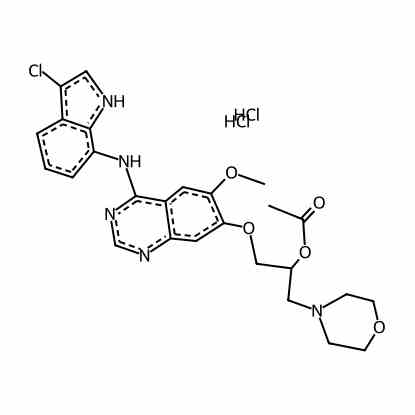 COc1cc2c(Nc3cccc4c(Cl)c[nH]c34)ncnc2cc1OCC(CN1CCOCC1)OC(C)=O.Cl.Cl